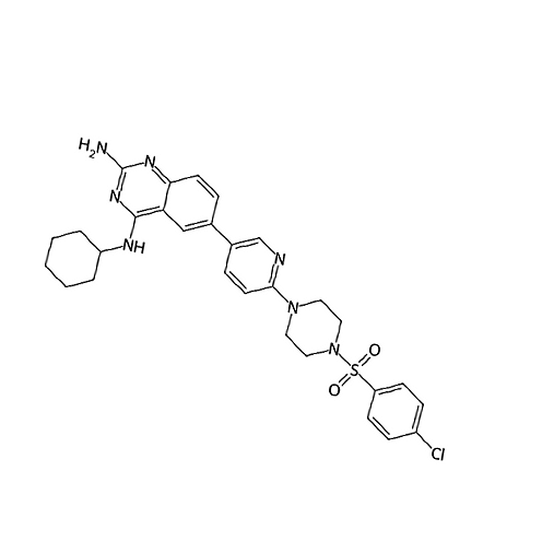 Nc1nc(NC2CCCCC2)c2cc(-c3ccc(N4CCN(S(=O)(=O)c5ccc(Cl)cc5)CC4)nc3)ccc2n1